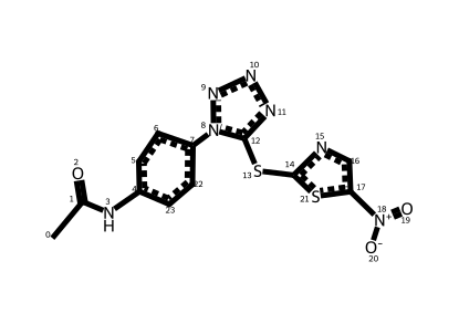 CC(=O)Nc1ccc(-n2nnnc2Sc2ncc([N+](=O)[O-])s2)cc1